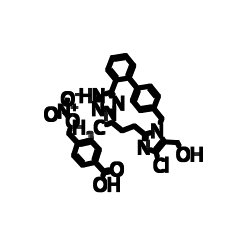 CCCCc1nc(Cl)c(CO)n1Cc1ccc(-c2ccccc2-c2nnn[nH]2)cc1.O=C(O)c1ccc(CO[N+](=O)[O-])cc1